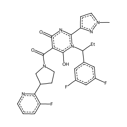 CCC(c1cc(F)cc(F)c1)n1c(-c2ccn(C)n2)nc(=O)c(C(=O)N2CCC(c3ncccc3F)C2)c1O